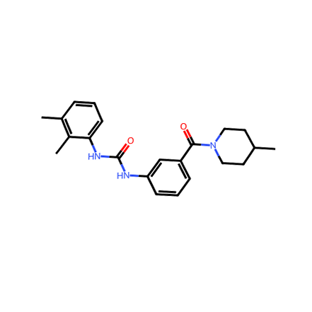 Cc1cccc(NC(=O)Nc2cccc(C(=O)N3CCC(C)CC3)c2)c1C